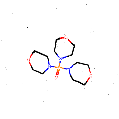 O=P(N1CCOCC1)(N1CCOCC1)N1CCOCC1